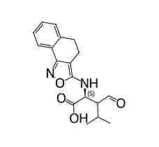 CC(C)C(C=O)[C@H](Nc1onc2c1CCc1ccccc1-2)C(=O)O